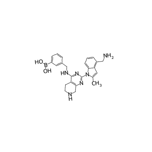 Cc1cc2c(CN)cccc2n1-c1nc2c(c(NCc3cccc(B(O)O)c3)n1)CCNC2